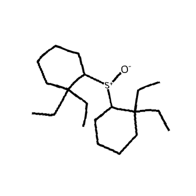 CCC1(CC)CCCCC1[S+]([O-])C1CCCCC1(CC)CC